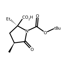 CC[C@@]1(C(=O)O)C[C@H](C)C(=O)N1C(=O)OC(C)(C)C